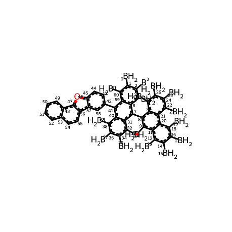 Bc1c(B)c(B)c2c(-c3c(B)c4c(B)c(B)c(B)c(B)c4c4c(B)c(B)c(B)c(B)c34)c3c(B)c(B)c(B)c(B)c3c(-c3ccc4oc5c6ccccc6ccc5c4c3)c2c1B